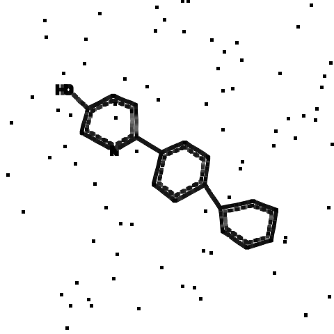 Oc1ccc(-c2ccc(-c3ccccc3)cc2)nc1